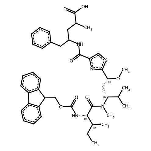 CC[C@H](C)[C@H](NC(=O)OCC1c2ccccc2-c2ccccc21)C(=O)N(C)[C@H](C[C@@H](OC)c1nc(C(=O)NC(Cc2ccccc2)CC(C)C(=O)O)cs1)C(C)C